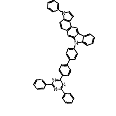 c1ccc(-c2nc(-c3ccccc3)nc(-c3ccc(-c4ccc(-n5c6ccccc6c6cc7c(ccc8c7ccn8-c7ccccc7)cc65)cc4)cc3)n2)cc1